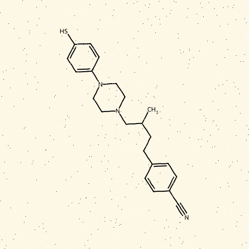 CC(CCc1ccc(C#N)cc1)CN1CCN(c2ccc(S)cc2)CC1